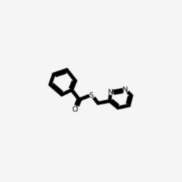 O=C(SCc1cccnn1)c1ccccc1